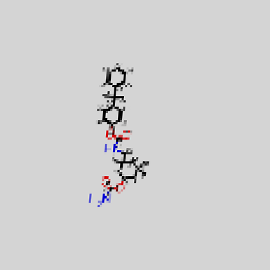 CC1(C)CC(OC(N)=O)CC(C)(CNC(=O)Oc2ccc(C(C)(C)c3ccccc3)cc2)C1